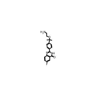 CC(C)(OCCN)c1ccc(-c2nc3ccc(F)cc3c(=O)[nH]2)cc1